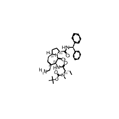 CC[C@@H](C(=O)N[C@@H]1C(=O)N2[C@@H](CC[C@@H]1CN)CC[C@H]2C(=O)NC(c1ccccc1)c1ccccc1)N(C)C(=O)OC(C)(C)C